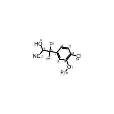 CC(C)Oc1cc(C(F)(F)C(O)C#N)ccc1Cl